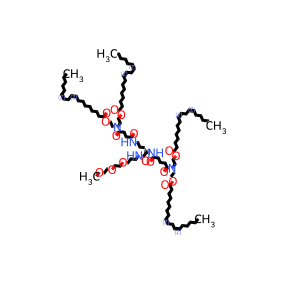 CCCCC/C=C\C/C=C\CCCCCCCC(=O)OCCN(CCOC(=O)CCCCCCC/C=C\C/C=C\CCCCC)C(=O)CCCC(=O)N[C@@H](CCCNC(=O)CCC(=O)N(CCOC(=O)CCCCCCC/C=C\C/C=C\CCCCC)CCOC(=O)CCCCCCC/C=C\C/C=C\CCCCC)C(=O)NCCCOCCOCCOC